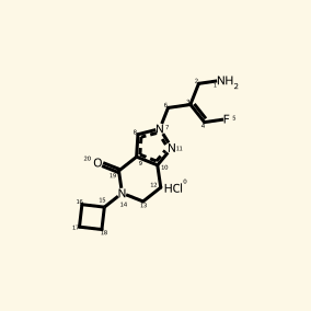 Cl.NCC(=CF)Cn1cc2c(n1)CCN(C1CCC1)C2=O